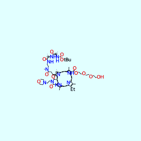 CCC1=C(C)c2cc3[nH]c(cc4nc(c5c6[nH]c(cc1n2)c(C)c6C(=O)N(CCN1CCOCC1)C5=O)[C@@H](CCC(=O)N(C)CCNC(=O)[C@H](C)NC(=O)[C@H](C)NC(=O)OC(C)(C)C)[C@@H]4C)c(C)c3C(=O)OCCOCCOCCO